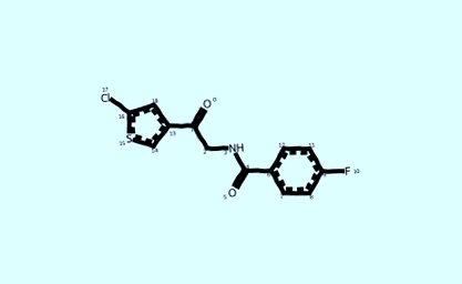 O=C(CNC(=O)c1ccc(F)cc1)c1csc(Cl)c1